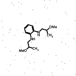 COC(C)CNc1ccccc1NCC(C)OC